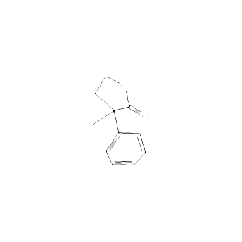 CC1(c2ccccc2)CCOC1=O